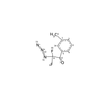 Cc1cccc(C(=O)C(F)(F)N=[N+]=[N-])c1